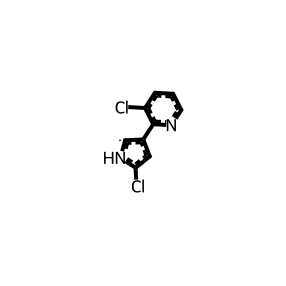 Clc1cc(-c2ncccc2Cl)[c][nH]1